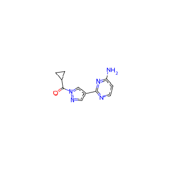 Nc1ccnc(-c2cnn(C(=O)C3CC3)c2)n1